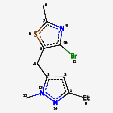 CCc1cc(Cc2sc(C)nc2Br)n(C)n1